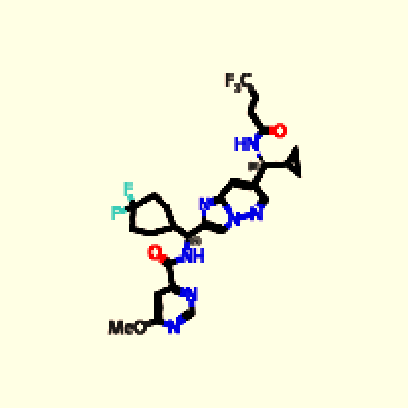 COc1cc(C(=O)N[C@H](c2cn3ncc([C@H](NC(=O)CCC(F)(F)F)C4CC4)cc3n2)C2CCC(F)(F)CC2)ncn1